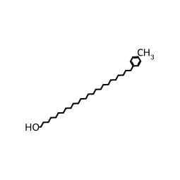 Cc1ccc(CCCCCCCCCCCCCCCCCCCCCCCCCO)cc1